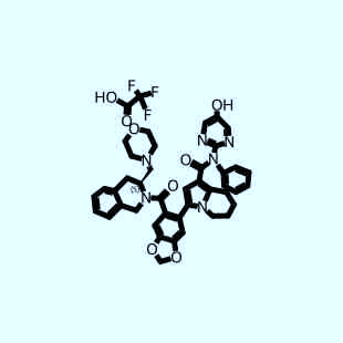 O=C(O)C(F)(F)F.O=C(c1cc(-c2cc3c(cc2C(=O)N2Cc4ccccc4C[C@H]2CN2CCOCC2)OCO3)n2c1CCCC2)N(c1ccccc1)c1ncc(O)cn1